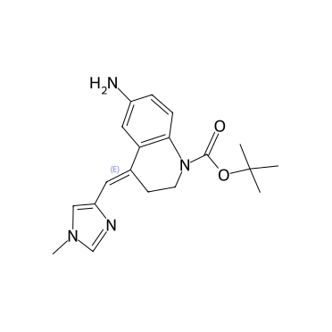 Cn1cnc(/C=C2\CCN(C(=O)OC(C)(C)C)c3ccc(N)cc32)c1